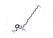 C=Cc1ccccc1C[N+](C)(C)CCCCCCCCCCCCCCCC